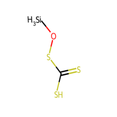 [SiH3]OSC(=S)S